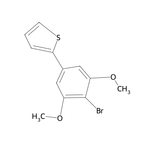 COc1cc(-c2cccs2)cc(OC)c1Br